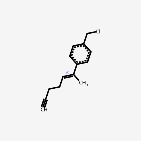 C#CCC/C=C(\C)c1ccc(CCl)cc1